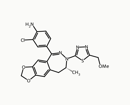 COCc1nnc(N2N=C(c3ccc(N)c(Cl)c3)c3cc4c(cc3C[C@H]2C)OCO4)s1